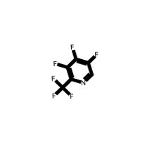 Fc1cnc(C(F)(F)F)c(F)c1F